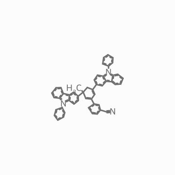 CC1(c2ccc3c(c2)c2ccccc2n3-c2ccccc2)C=C(c2cccc(C#N)c2)C=C(c2ccc3c(c2)c2ccccc2n3-c2ccccc2)C1